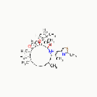 C/C1=C/CCC[C@H](C)[C@H](C)[C@@H](C)C(=O)C(C)(C)[C@@H](O[Si](C)(C)C(C)(C)C)CC(=O)N[C@H](/C(C)=C/c2csc(C)n2)C1